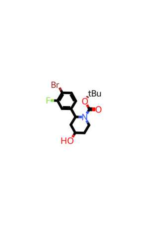 CC(C)(C)OC(=O)N1CCC(O)CC1c1ccc(Br)c(F)c1